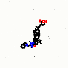 C=C/C(=C\C=C(/C)C1=CC[C@]2(C)[C@H]3CC[C@@H]4[C@H]5[C@H](C(=C)C)CC[C@]5(NC(=O)N(C)CCn5ccc6ccccc65)CC[C@@]4(C)[C@]3(C)CC[C@H]2C1(C)C)C(=O)O